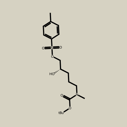 Cc1ccc(S(=O)(=O)OC[C@@H](O)CCCN(C)C(=O)OC(C)(C)C)cc1